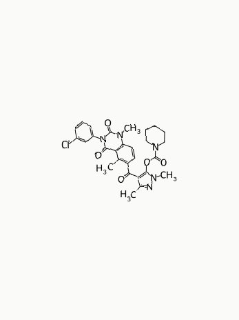 Cc1nn(C)c(OC(=O)N2CCCCC2)c1C(=O)c1ccc2c(c1C)c(=O)n(-c1cccc(Cl)c1)c(=O)n2C